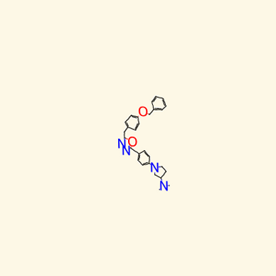 CN(C)C1CCN(c2ccc(-c3nnc(Cc4ccc(OCc5ccccc5)cc4)o3)cc2)C1